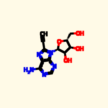 C#Cc1nc2c(N)ncnc2n1[C@@H]1O[C@H](CO)[C@@H](O)[C@H]1O